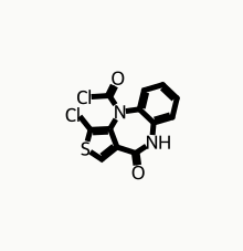 O=C1Nc2ccccc2N(C(=O)Cl)c2c1csc2Cl